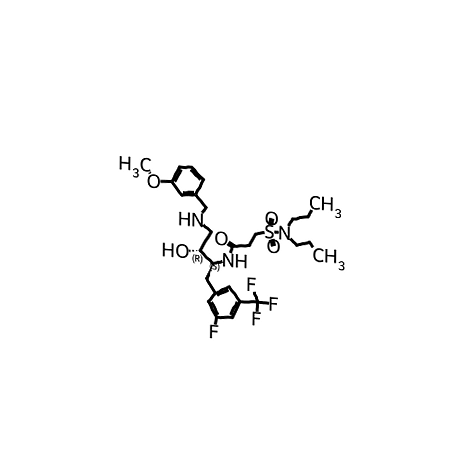 CCCN(CCC)S(=O)(=O)CCC(=O)N[C@@H](Cc1cc(F)cc(C(F)(F)F)c1)[C@H](O)CNCc1cccc(OC)c1